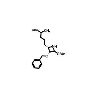 CCCCC(C)CCC[C@@H]1NC(OC)[C@@H]1OCc1ccccc1